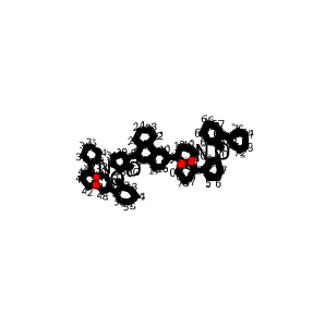 c1ccc(-c2ccccc2N(c2ccc(-c3ccc4c(c3)c3ccccc3c3c5ccc(N(c6ccccc6-c6ccccc6)c6cccc7c6oc6ccccc67)cc5oc43)cc2)c2cccc3c2oc2ccccc23)cc1